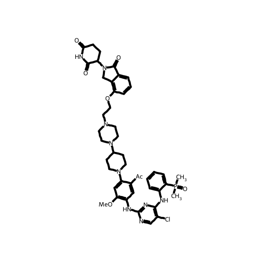 COc1cc(N2CCC(N3CCN(CCOc4cccc5c4CN(C4CCC(=O)NC4=O)C5=O)CC3)CC2)c(C(C)=O)cc1Nc1ncc(Cl)c(Nc2ccccc2P(C)(C)=O)n1